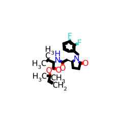 C=CC(C)(C)OC(=O)[C@@H](NC(=O)C[C@@H]1CCC(=O)N1Cc1cccc(F)c1F)C(C)C